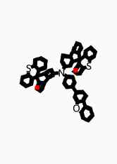 c1ccc2c(c1)Sc1ccccc1C21c2ccccc2-c2cc(N(c3ccc(-c4ccc5c(c4)oc4ccccc45)cc3)c3ccc4c(c3)C3(c5ccccc5Sc5ccccc53)c3ccccc3-4)ccc21